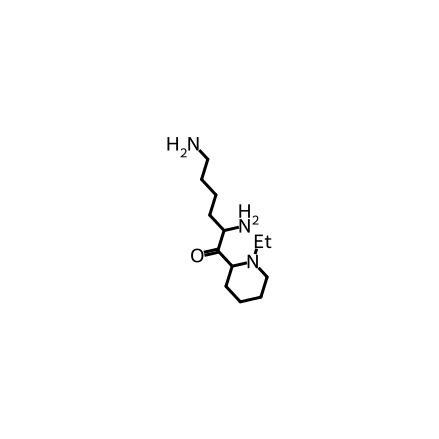 CCN1CCCCC1C(=O)C(N)CCCCN